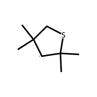 CC1(C)[CH]C(C)(C)SC1